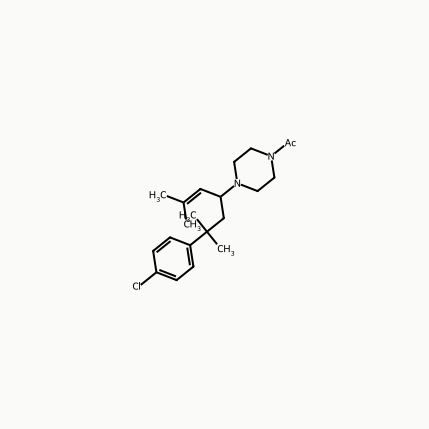 CC(=O)N1CCN(C(C=C(C)C)CC(C)(C)c2ccc(Cl)cc2)CC1